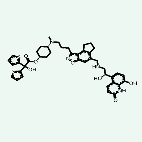 CN(CCCc1noc2cc(CNC[C@H](O)c3ccc(O)c4[nH]c(=O)ccc34)c3c(c12)CCC3)[C@H]1CC[C@H](OC(=O)C(O)(c2cccs2)c2cccs2)CC1